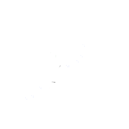 Cl.Cl.O=C1O[C@]2(CC[C@H](CNc3ccc4nc(-c5cccc(F)c5)cn4n3)CC2)CN1c1cccnn1